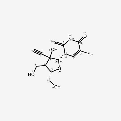 C#CC1(O)C(CO)[C@@H](CO)O[C@H]1n1cc(F)c(=O)[nH]c1=S